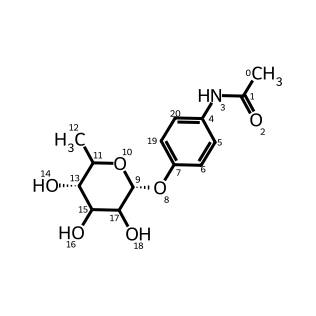 CC(=O)Nc1ccc(O[C@H]2OC(C)[C@@H](O)C(O)C2O)cc1